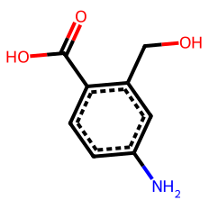 Nc1ccc(C(=O)O)c(CO)c1